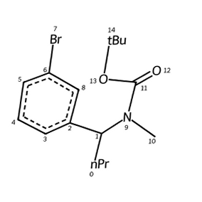 CCCC(c1cccc(Br)c1)N(C)C(=O)OC(C)(C)C